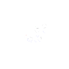 O=C(O)c1ccc(Nc2ncc3c(n2)-c2ccc(Cl)cc2C(c2ccccc2F)=NC3)nn1